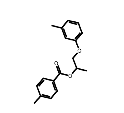 Cc1ccc(C(=O)OC(C)COc2cccc(C)c2)cc1